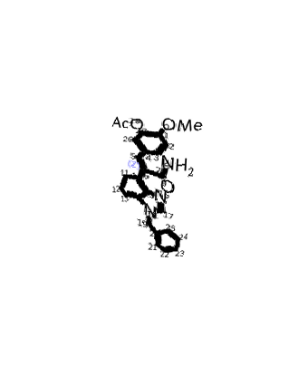 COc1ccc(/C=C(\C(N)=O)c2cccc3c2ncn3Cc2ccccc2)cc1OC(C)=O